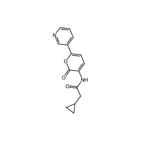 O=C(CC1CC1)Nc1ccc(-c2cccnc2)oc1=O